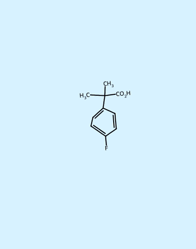 CC(C)(C(=O)O)c1ccc(F)cc1